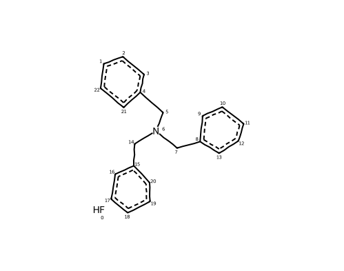 F.c1ccc(CN(Cc2ccccc2)Cc2ccccc2)cc1